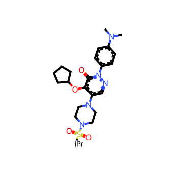 CC(C)S(=O)(=O)N1CCN(c2cnn(-c3ccc(N(C)C)cc3)c(=O)c2OC2CCCC2)CC1